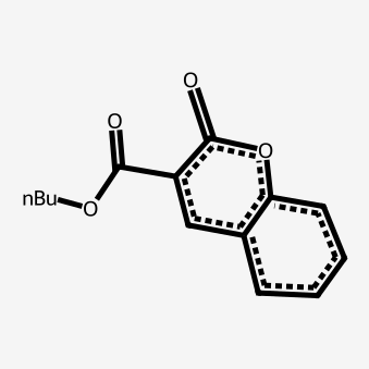 CCCCOC(=O)c1cc2ccccc2oc1=O